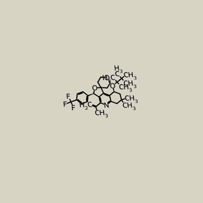 C=C(C)c1nc2c(c3c1[C@@H](c1ccc(C(F)(F)F)cc1)OC31CCOCC1)[C@@H](OC(C)(C)C(C)(C)C)CC(C)(C)C2